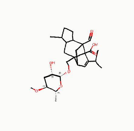 CO[C@H]1C[C@H](O)[C@H](OCC23CC4C(C)CCC4C4(C=O)CC2C=C(C(C)C)C43C(=O)O)O[C@@H]1C